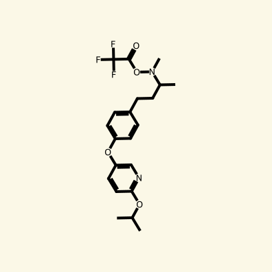 CC(C)Oc1ccc(Oc2ccc(CCC(C)N(C)OC(=O)C(F)(F)F)cc2)cn1